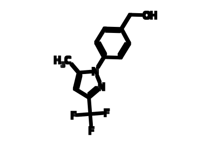 Cc1cc(C(F)(F)F)nn1-c1ccc(CO)cc1